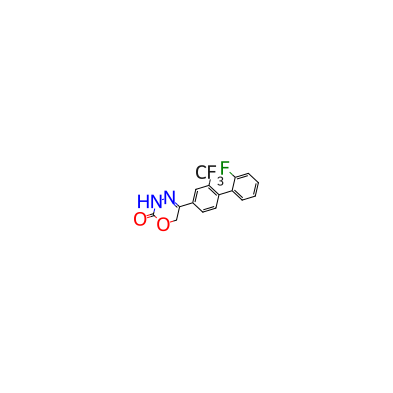 O=C1NN=C(c2ccc(-c3ccccc3F)c(C(F)(F)F)c2)CO1